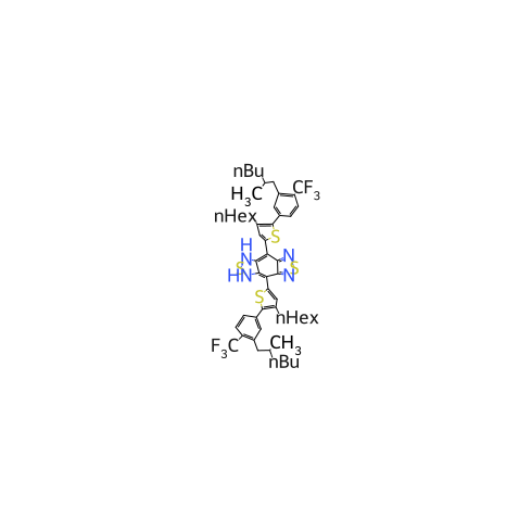 CCCCCCc1cc(-c2c3c(c(-c4cc(CCCCCC)c(-c5ccc(C(F)(F)F)c(CC(C)CCCC)c5)s4)c4nsnc24)NSN3)sc1-c1ccc(C(F)(F)F)c(CC(C)CCCC)c1